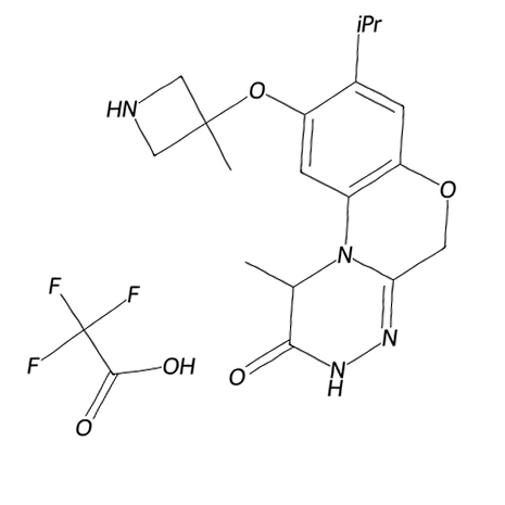 CC(C)c1cc2c(cc1OC1(C)CNC1)N1C(=NNC(=O)C1C)CO2.O=C(O)C(F)(F)F